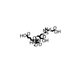 CO[C@@]1(NC(=O)CCCC(=O)O)C(=O)N2C(C(=O)O)=C(CSc3nnc(SCC(=O)O)s3)CS[C@@H]21